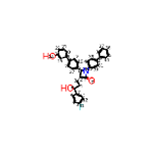 O=C1[C@H](CC[C@H](O)c2ccc(F)cc2)[C@@H](c2ccc(-c3cccc(O)c3)cc2)N1c1ccc(-c2ccccc2)cc1